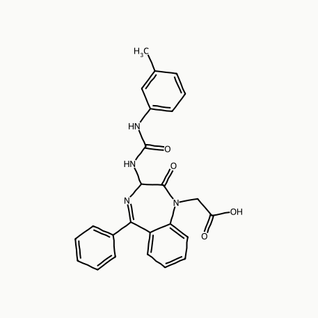 Cc1cccc(NC(=O)NC2N=C(c3ccccc3)c3ccccc3N(CC(=O)O)C2=O)c1